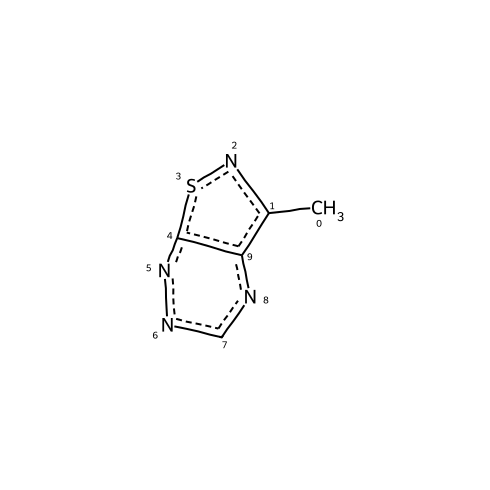 Cc1nsc2nncnc12